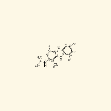 CCC(CC)Nc1cc(C)nc(Oc2c(C)cc(C)nc2C)c1C#N